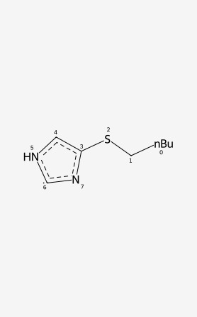 CCCCCSc1c[nH][c]n1